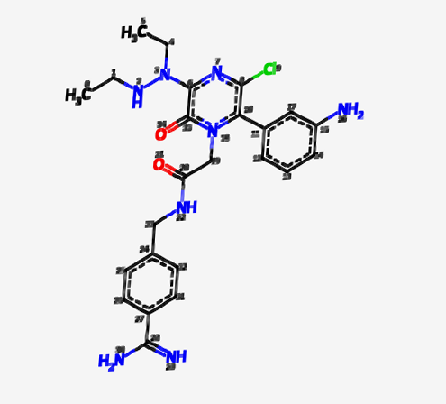 CCNN(CC)c1nc(Cl)c(-c2cccc(N)c2)n(CC(=O)NCc2ccc(C(=N)N)cc2)c1=O